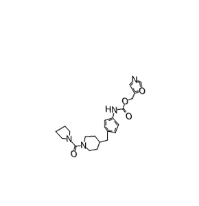 O=C(Nc1ccc(CC2CCN(C(=O)N3CCCC3)CC2)cc1)OCc1cnco1